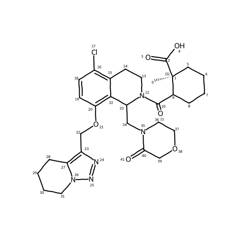 C[C@]1(C(=O)O)CCCCC1C(=O)N1CCc2c(Cl)ccc(OCc3nnn4c3CCCC4)c2C1CN1CCOCC1=O